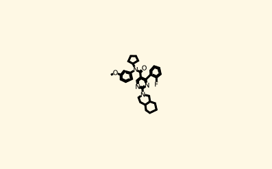 COc1cccc(N(C(=O)c2cnc(N3CCC4CCCCC4C3)nc2-c2ccccc2F)C2CCCC2)c1